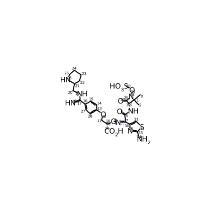 CC1(C)[C@H](NC(=O)/C(=N\O[C@@H](COc2ccc(C(=N)NCC3CCCCN3)cc2)C(=O)O)c2csc(N)n2)C(=O)N1OS(=O)(=O)O